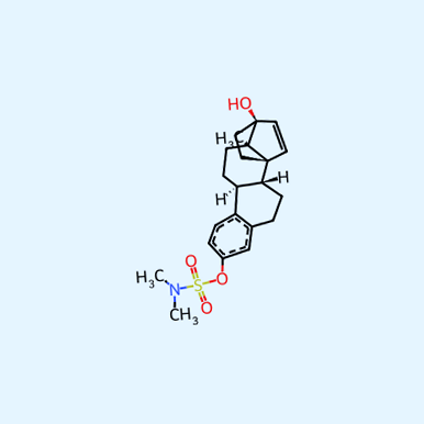 CN(C)S(=O)(=O)Oc1ccc2c(c1)CC[C@@H]1[C@@H]2CC[C@]2(C)[C@@]3(O)C=C[C@]12CC3